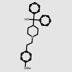 COc1ccc(CCN2CCC(C(O)(c3ccccc3)c3ccccc3)CC2)cc1